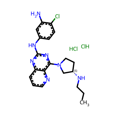 CCCN[C@H]1CCN(c2nc(Nc3ccc(Cl)c(N)c3)nc3cccnc23)C1.Cl.Cl